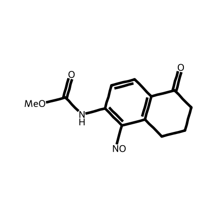 COC(=O)Nc1ccc2c(c1N=O)CCCC2=O